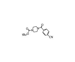 CC(C)(C)OC(=O)N1CCN(C(=O)c2ccc(C#N)cc2)CC1